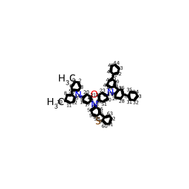 Cc1ccc2c(c1)c1cc(C)ccc1n2-c1ccc2c(c1)Oc1cc(-n3c4ccc(-c5ccccc5)cc4c4cc(-c5ccccc5)ccc43)ccc1N2c1ccc2sc3ccccc3c2c1